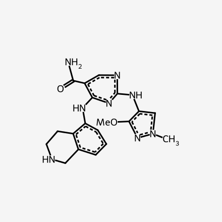 COc1nn(C)cc1Nc1ncc(C(N)=O)c(Nc2cccc3c2CCNC3)n1